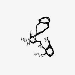 CCc1cccc(C(=O)O)c1NCc1c[nH]c(=S)n1C1CCc2ccccc2C1.Cl